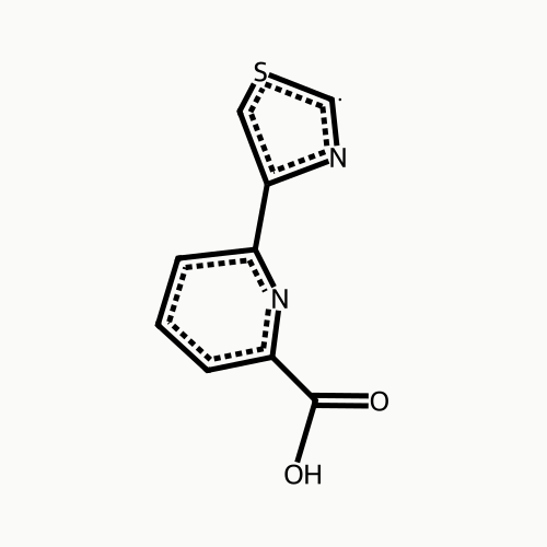 O=C(O)c1cccc(-c2cs[c]n2)n1